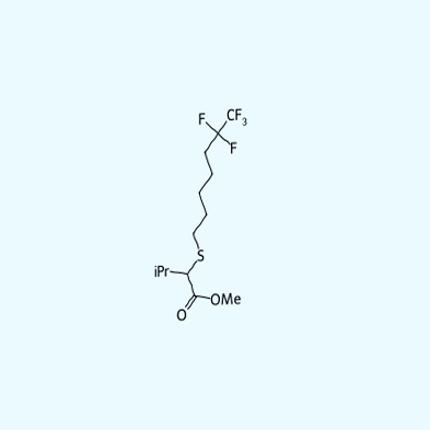 COC(=O)C(SCCCCCC(F)(F)C(F)(F)F)C(C)C